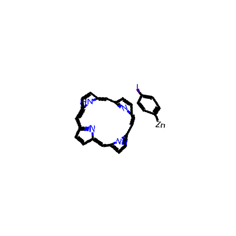 C1=Cc2cc3ccc(cc4nc(cc5ccc(cc1n2)[nH]5)C=C4)[nH]3.[Zn][c]1ccc(I)cc1